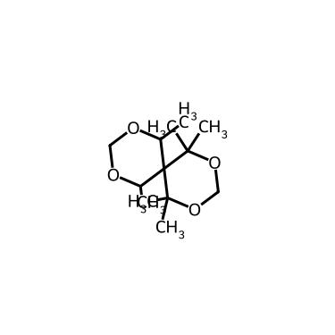 CC1OCOC(C)C12C(C)(C)OCOC2(C)C